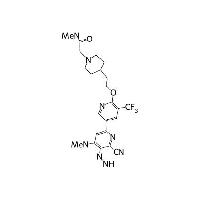 CNC(=O)CN1CCC(CCOc2ncc(-c3cc(NC)c(N=N)c(C#N)n3)cc2C(F)(F)F)CC1